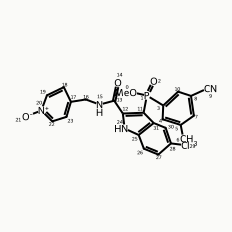 COP(=O)(c1cc(C)cc(C#N)c1)c1c(C(=O)NCc2cc[n+]([O-])cc2)[nH]c2ccc(Cl)cc12